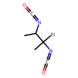 CCC(C)(N=C=O)C(C)N=C=O